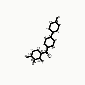 CC1CCC(C2CCC(C(=O)C3CCC(C)C(F)C3F)CC2)CC1